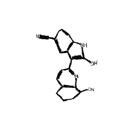 N#Cc1ccc2[nH]c(O)c(-c3ccc4c(n3)C(O)CCC4)c2c1